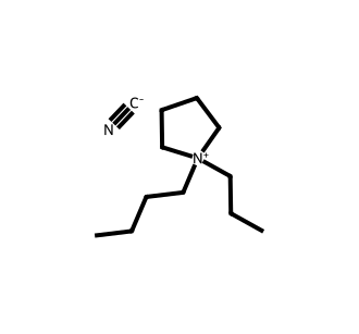 CCCC[N+]1(CCC)CCCC1.[C-]#N